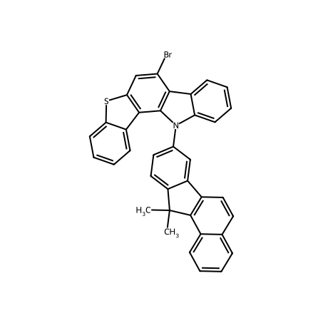 CC1(C)c2ccc(-n3c4ccccc4c4c(Br)cc5sc6ccccc6c5c43)cc2-c2ccc3ccccc3c21